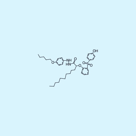 CCCCCCCCCCC(Oc1ccccc1S(=O)(=O)c1ccc(O)cc1)C(=O)NNc1ccc(OCCCCC)cc1